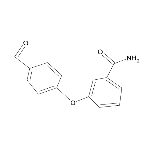 NC(=O)c1cccc(Oc2ccc(C=O)cc2)c1